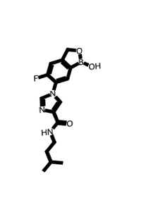 CC(C)CCNC(=O)c1cn(-c2cc3c(cc2F)COB3O)cn1